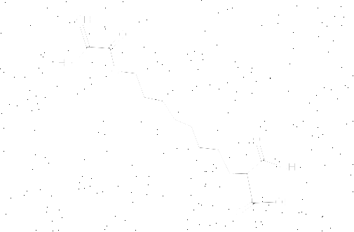 C=C(C)C(=O)OCCCCCCCCC(C(=O)O)C(=O)O